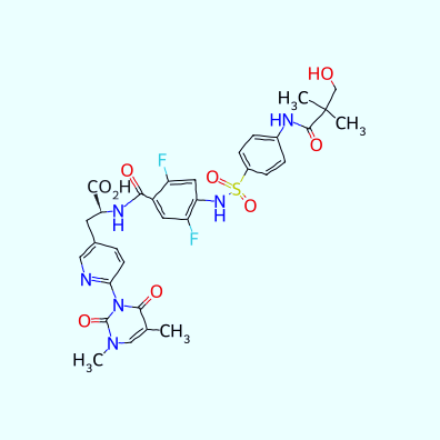 Cc1cn(C)c(=O)n(-c2ccc(C[C@H](NC(=O)c3cc(F)c(NS(=O)(=O)c4ccc(NC(=O)C(C)(C)CO)cc4)cc3F)C(=O)O)cn2)c1=O